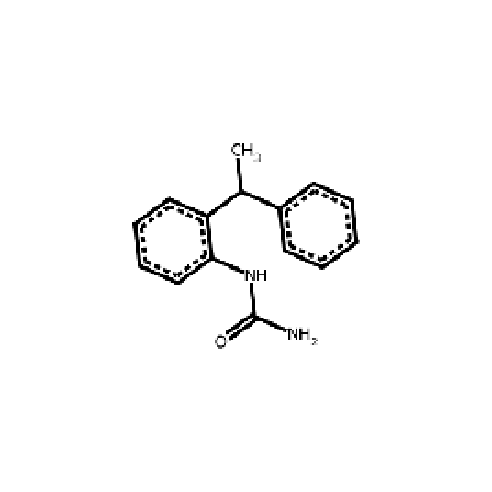 CC(c1ccccc1)c1ccccc1NC(N)=O